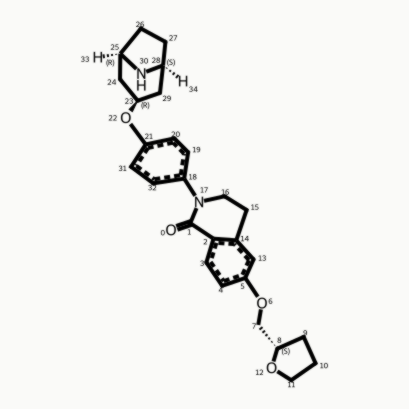 O=C1c2ccc(OC[C@@H]3CCCO3)cc2CCN1c1ccc(O[C@H]2C[C@H]3CC[C@@H](C2)N3)cc1